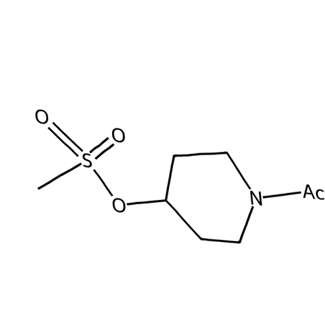 CC(=O)N1CCC(OS(C)(=O)=O)CC1